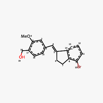 COc1cc(/C=C2\CCc3c(Br)cccc32)ccc1CO